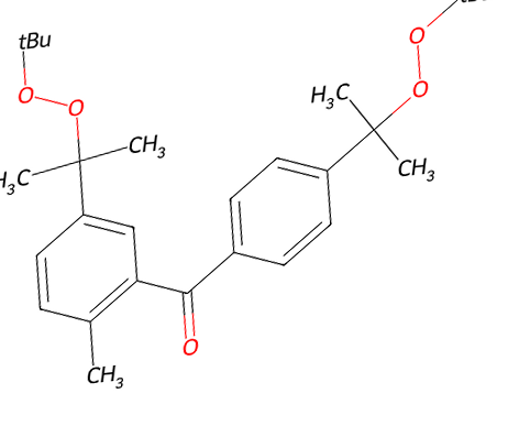 Cc1ccc(C(C)(C)OOC(C)(C)C)cc1C(=O)c1ccc(C(C)(C)OOC(C)(C)C)cc1